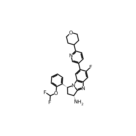 N[C@@H]1C[C@H](c2ccccc2OC(F)F)n2c1nc1cc(F)c(-c3ccc(C4CCOCC4)nc3)cc12